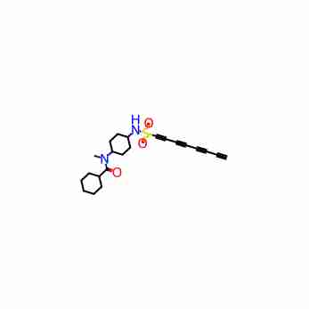 C#CC#CC#CC#CS(=O)(=O)NC1CCC(N(C)C(=O)C2CCCCC2)CC1